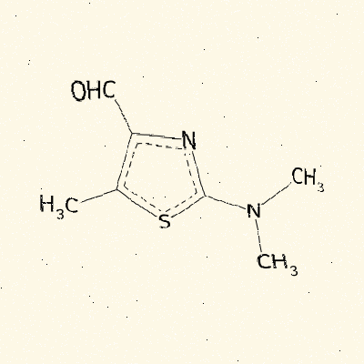 Cc1sc(N(C)C)nc1C=O